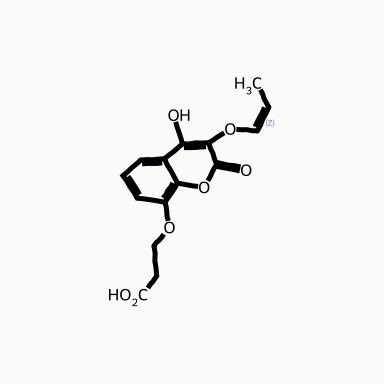 C/C=C\Oc1c(O)c2cccc(OCCC(=O)O)c2oc1=O